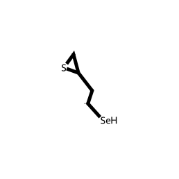 [SeH][CH]CC1CS1